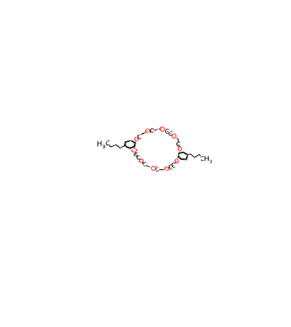 CCCCc1ccc2c(c1)OCCOCCOCCOCCOc1ccc(CCCC)cc1OCCOCCOCCOCCO2